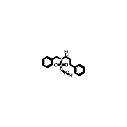 CC[C@@H](CCc1ccccc1)N(Cc1ccccc1)S(=O)(=O)N=[N+]=[N-]